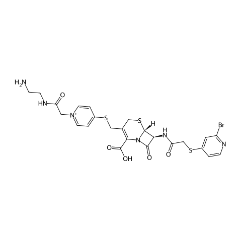 NCCNC(=O)C[n+]1ccc(SCC2=C(C(=O)O)N3C(=O)[C@H](NC(=O)CSc4ccnc(Br)c4)[C@H]3SC2)cc1